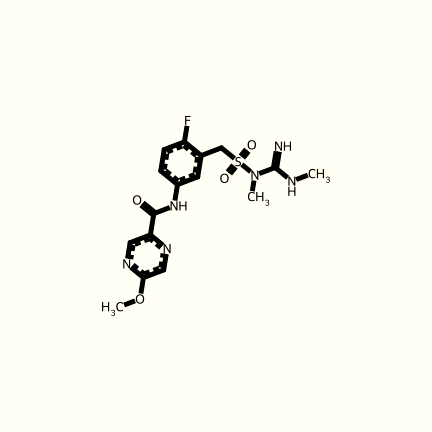 CNC(=N)N(C)S(=O)(=O)Cc1cc(NC(=O)c2cnc(OC)cn2)ccc1F